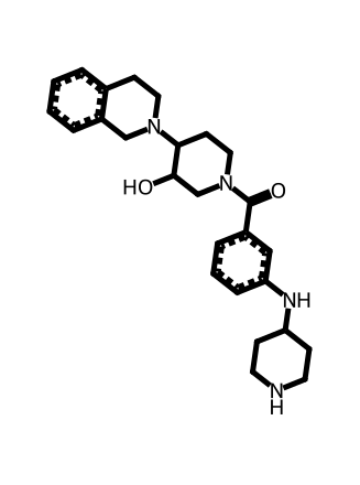 O=C(c1cccc(NC2CCNCC2)c1)N1CCC(N2CCc3ccccc3C2)C(O)C1